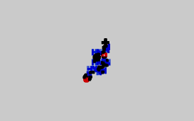 Cc1ccc(NC(=O)c2cc(C(C)(C)C)nn2C)cc1Nc1ncncc1-c1cc(NCCN2CCOCC2)ncn1